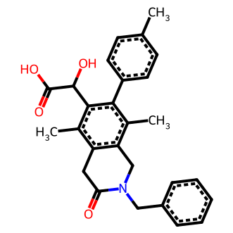 Cc1ccc(-c2c(C)c3c(c(C)c2C(O)C(=O)O)CC(=O)N(Cc2ccccc2)C3)cc1